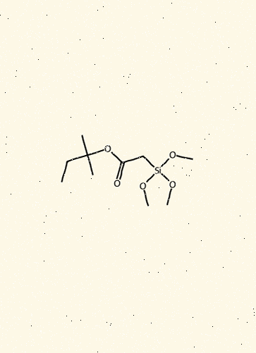 CCC(C)(C)OC(=O)C[Si](OC)(OC)OC